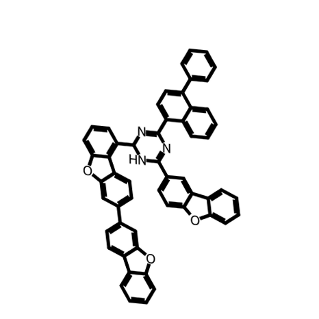 c1ccc(-c2ccc(C3=NC(c4cccc5oc6cc(-c7ccc8c(c7)oc7ccccc78)ccc6c45)NC(c4ccc5oc6ccccc6c5c4)=N3)c3ccccc23)cc1